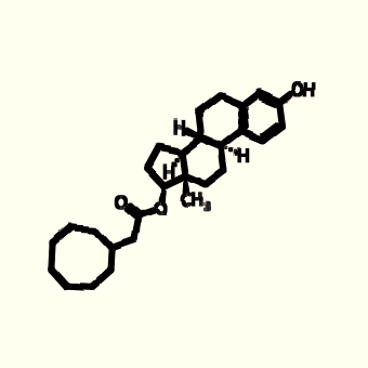 C[C@]12CC[C@@H]3c4ccc(O)cc4CC[C@H]3[C@@H]1CC[C@@H]2OC(=O)CC1CCCCCCC1